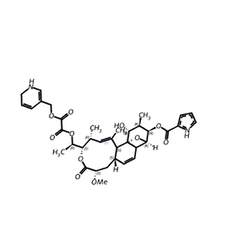 CO[C@H]1C[C@H]2C=CC3C4[C@H](O)[C@@H](C)[C@@H](OC(=O)c5ccc[nH]5)[C@@H]3O[C@]42/C(C)=C/[C@@H](C)[C@@H]([C@@H](C)OC(=O)C(=O)OCC2=CNCC=C2)OC1=O